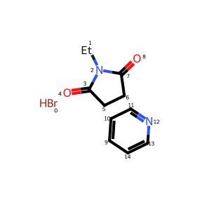 Br.CCN1C(=O)CCC1=O.c1ccncc1